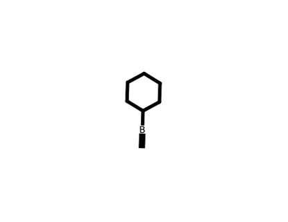 C=BC1CCCCC1